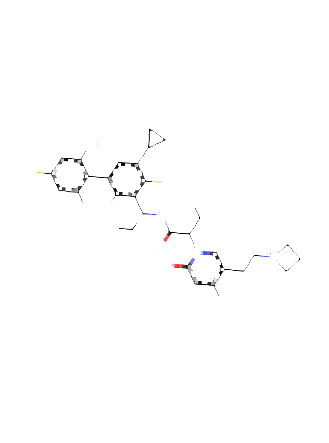 CCOC(=O)C[C@H](NC(=O)C(CC(C)C)n1cc(CCN2CCC2)c(C(F)(F)F)cc1=O)c1c(F)c(-c2c(C)cc(F)cc2C)cc(C2CC2)c1F